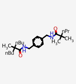 CCCCC(C)(CCCC)C(=O)NCc1ccc(CNC(=O)C(C)(C)CCC)cc1